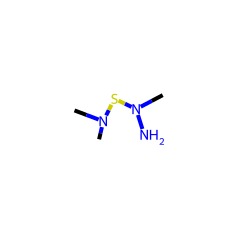 CN(C)SN(C)N